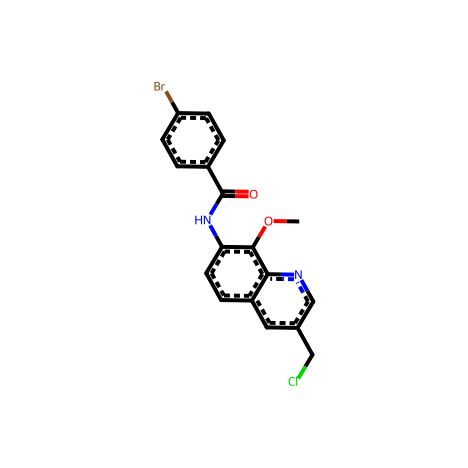 COc1c(NC(=O)c2ccc(Br)cc2)ccc2cc(CCl)cnc12